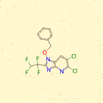 FC(F)C(F)(F)c1nc2nc(Cl)c(Cl)cc2n1OCc1ccccc1